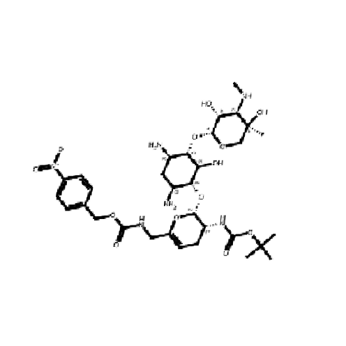 CN[C@@H]1[C@@H](O)[C@@H](O[C@@H]2[C@@H](O)[C@H](O[C@H]3OC(CNC(=O)OCc4ccc([N+](=O)[O-])cc4)=CC[C@H]3NC(=O)OC(C)(C)C)[C@@H](N)C[C@H]2N)OC[C@]1(C)O